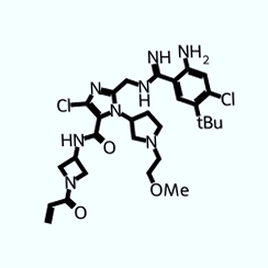 C=CC(=O)N1CC(NC(=O)c2c(Cl)nc(CNC(=N)c3cc(C(C)(C)C)c(Cl)cc3N)n2C2CCN(CCOC)C2)C1